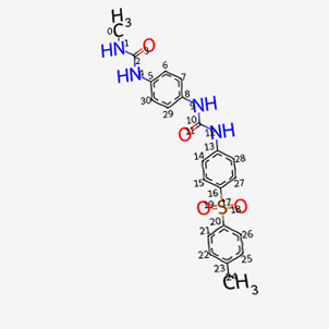 CNC(=O)Nc1ccc(NC(=O)Nc2ccc(S(=O)(=O)c3ccc(C)cc3)cc2)cc1